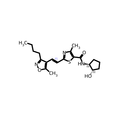 CCCCc1noc(C)c1/C=C/c1nc(C)c(C(=O)N[C@H]2CCC[C@@H]2O)s1